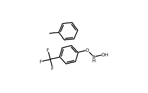 Cc1ccccc1.OBOc1ccc(C(F)(F)F)cc1